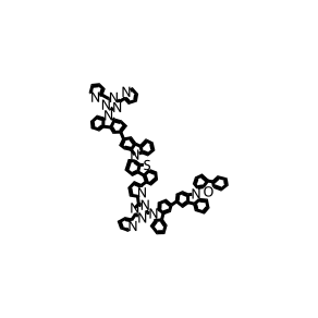 c1ccc(-c2nc(-c3ccccn3)nc(-n3c4ccccc4c4cc(-c5ccc6c(c5)c5ccccc5n6-c5cccc6c5sc5cccc(-c7cccc(-c8nc(-c9ccccn9)nc(-n9c%10ccccc%10c%10cc(-c%11ccc%12c(c%11)c%11ccccc%11n%12-c%11cccc%12c%11oc%11ccccc%11%12)ccc%109)n8)n7)c56)ccc43)n2)nc1